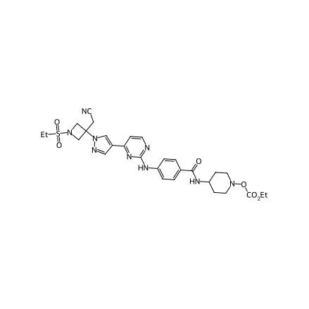 CCOC(=O)ON1CCC(NC(=O)c2ccc(Nc3nccc(-c4cnn(C5(CC#N)CN(S(=O)(=O)CC)C5)c4)n3)cc2)CC1